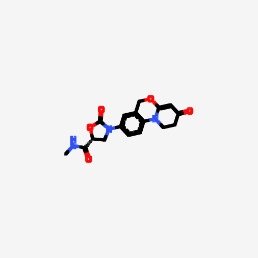 CNC(=O)[C@H]1CN(c2ccc3c(c2)COC2=CC(=O)CCN23)C(=O)O1